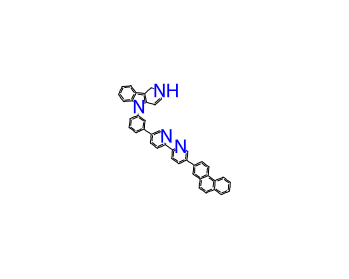 C1=Cc2c(c3ccccc3n2-c2cccc(-c3ccc(-c4ccc(-c5ccc6c(ccc7ccccc76)c5)cn4)nc3)c2)CN1